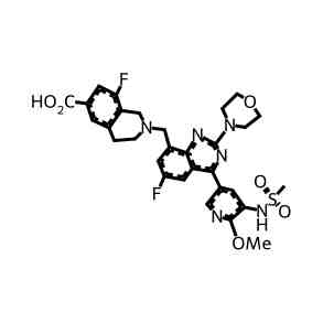 COc1ncc(-c2nc(N3CCOCC3)nc3c(CN4CCc5cc(C(=O)O)cc(F)c5C4)cc(F)cc23)cc1NS(C)(=O)=O